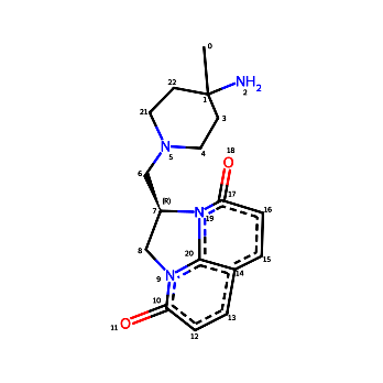 CC1(N)CCN(C[C@@H]2Cn3c(=O)ccc4ccc(=O)n2c43)CC1